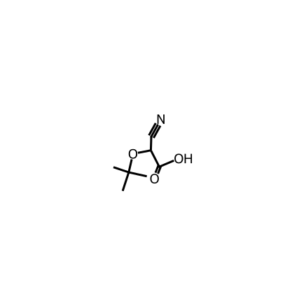 CC(C)(C)OC(C#N)C(=O)O